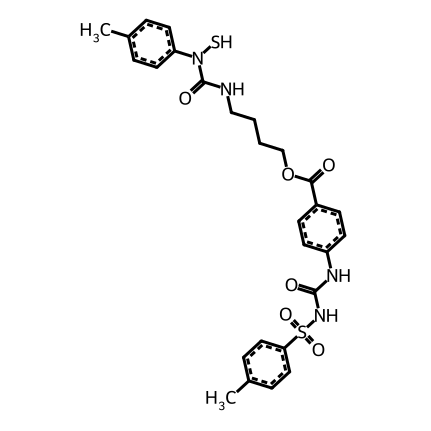 Cc1ccc(N(S)C(=O)NCCCCOC(=O)c2ccc(NC(=O)NS(=O)(=O)c3ccc(C)cc3)cc2)cc1